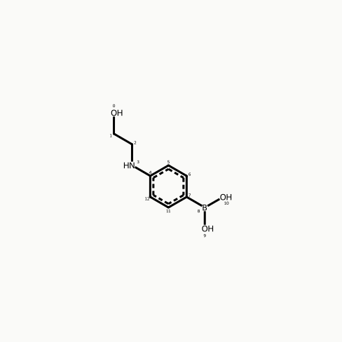 OCCNc1ccc(B(O)O)cc1